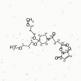 COCCCOC1(OCCCOC)CCN(C(=O)CCC(=O)ON2C(=O)C=CC2=O)CC1